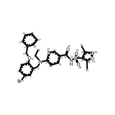 CCN(Cc1cc(Br)ccc1OCc1ccccc1)c1ccc(C(=O)NS(=O)(=O)c2c(C)noc2C)cn1